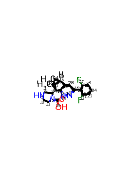 CC1(C)[C@H]2CC[C@]1(C1CNCCN1C(=O)O)c1nnc(-c3c(F)cccc3F)cc12